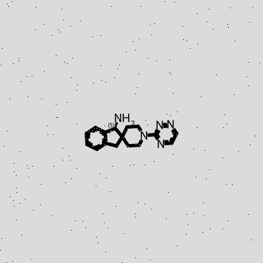 N[C@@H]1c2ccccc2CC12CCN(c1nccnn1)CC2